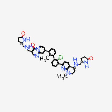 Cc1c(-c2ccn3c(=O)c(CNC[C@H]4CCC(=O)N4)cnc3c2)cccc1-c1cccc(-c2ccc3c(n2)N(C)CC[C@@H]3NC[C@H]2CCC(=O)N2)c1Cl